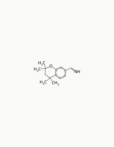 CC1(C)CC(C)(C)c2ccc(C=N)cc2O1